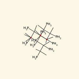 CCC(P)(C(C)(P)C(C)(C)P)C(C)(P)C(C)(P)C(C)(P)C(C)(P)C(P)(CC)C(C)(P)C(C)(C)P